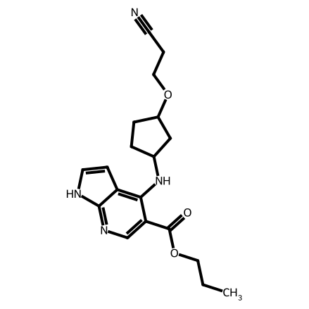 CCCOC(=O)c1cnc2[nH]ccc2c1NC1CCC(OCCC#N)C1